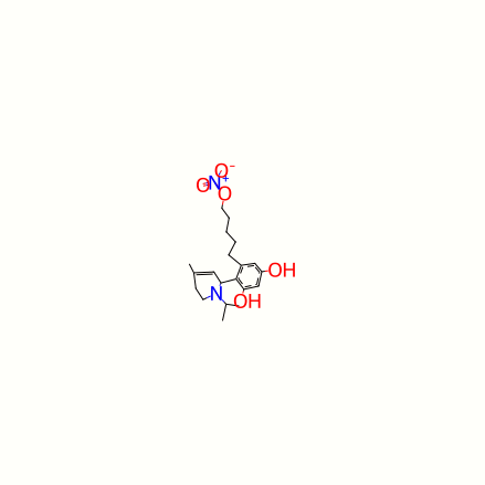 CC1=CC(c2c(O)cc(O)cc2CCCCCO[N+](=O)[O-])N(C(C)C)CC1